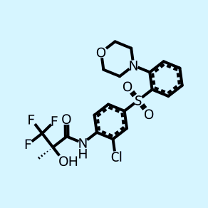 C[C@@](O)(C(=O)Nc1ccc(S(=O)(=O)c2ccccc2N2CCOCC2)cc1Cl)C(F)(F)F